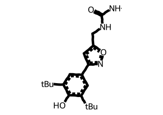 CC(C)(C)c1cc(-c2cc(CNC([NH])=O)on2)cc(C(C)(C)C)c1O